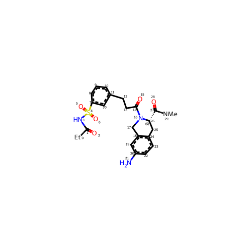 CCC(=O)NS(=O)(=O)c1cccc(CCC(=O)N2Cc3cc(N)ccc3C[C@H]2C(=O)NC)c1